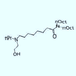 CCCCCCCCN(CCCCCCCC)C(=O)CCCCCCCN(CCC)CCO